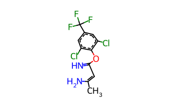 C/C(N)=C/C(=N)Oc1c(Cl)cc(C(F)(F)F)cc1Cl